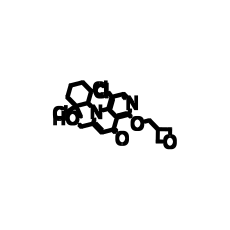 CC1(Cl)CCCC(Cl)C1n1c(CO)cc(=O)c2c(OCC3COC3)ncc(Cl)c21